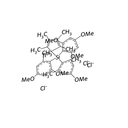 COc1cc(C)c([Si](c2c(C)cc(OC)cc2OC)(c2c(C)cc(OC)cc2OC)[C]2([Ti+3])C(C)=C(C)C(C)=C2C)c(OC)c1.[Cl-].[Cl-].[Cl-]